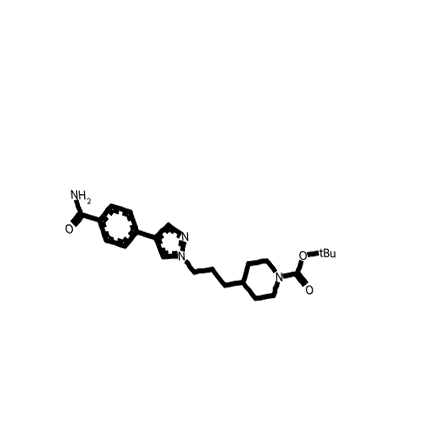 CC(C)(C)OC(=O)N1CCC(CCCn2cc(-c3ccc(C(N)=O)cc3)cn2)CC1